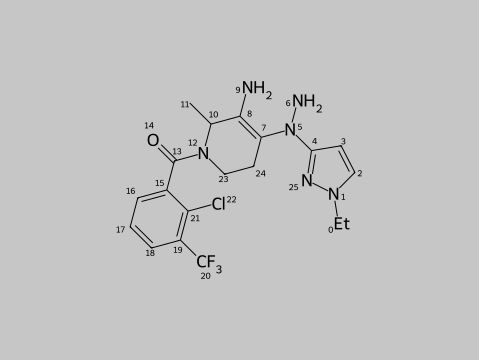 CCn1ccc(N(N)C2=C(N)C(C)N(C(=O)c3cccc(C(F)(F)F)c3Cl)CC2)n1